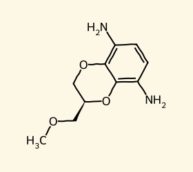 COC[C@H]1COc2c(N)ccc(N)c2O1